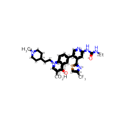 CCNC(=O)Nc1cc(-c2nc(C(F)(F)F)cs2)c(-c2ccc3c(c2)c(=O)c(C(=O)O)cn3CCC2CCN(C)CC2)cn1